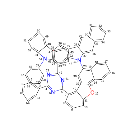 c1ccc(-c2nc(-c3cccc4oc5c6ccccc6c(-n6c7ccccc7c7cc8ccccc8cc76)cc5c34)nc(-c3cccc4c5ccccc5n(-c5ccccc5)c34)n2)cc1